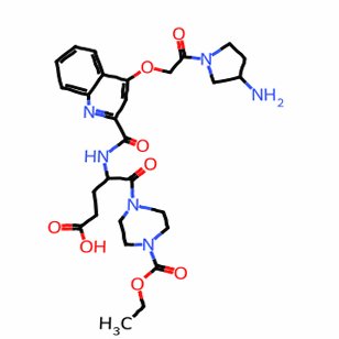 CCOC(=O)N1CCN(C(=O)C(CCC(=O)O)NC(=O)c2cc(OCC(=O)N3CCC(N)C3)c3ccccc3n2)CC1